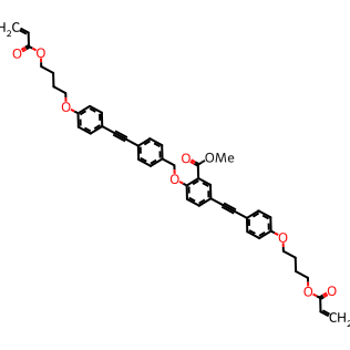 C=CC(=O)OCCCCOc1ccc(C#Cc2ccc(COc3ccc(C#Cc4ccc(OCCCCOC(=O)C=C)cc4)cc3C(=O)OC)cc2)cc1